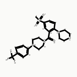 CS(=O)(=O)c1ccc(N2CCOCC2)c(C(=O)N2CCN(c3ccc(C(F)(F)F)cc3)CC2)c1